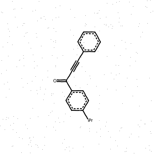 CC(C)c1ccc(C(=O)C#Cc2ccccc2)cc1